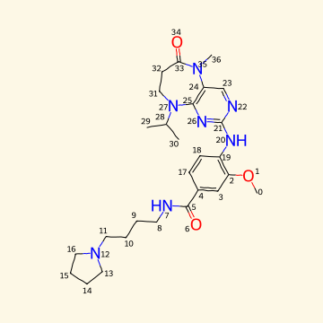 COc1cc(C(=O)NCCCCN2CCCC2)ccc1Nc1ncc2c(n1)N(C(C)C)CCC(=O)N2C